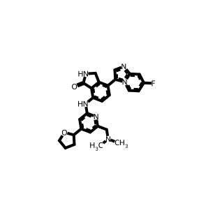 CN(C)Cc1cc(C2CCCO2)cc(Nc2ccc(-c3cnc4cc(F)ccn34)c3c2C(=O)NC3)n1